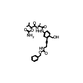 CC(C)[C@H](OC(N)=O)C(=O)N[C@@H](C)C(=O)Nc1ccc(CO)c(C#CCNC(=O)OCc2ccccc2)c1